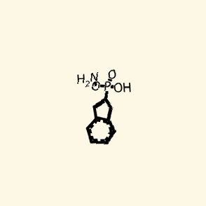 NOP(=O)(O)C1=Cc2ccccc2C1